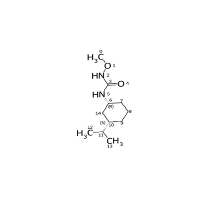 CONC(=O)N[C@@H]1CCC[C@H](C(C)C)C1